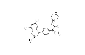 CN1Cc2c(Cl)cc(Cl)cc2C(c2ccc(N(C)C(=O)ON3CCOCC3)cc2)C1